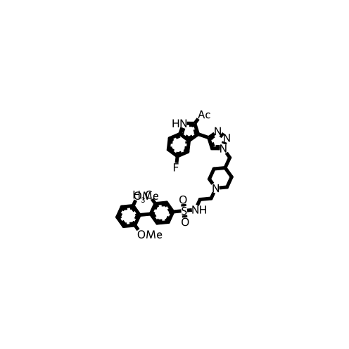 COc1cccc(OC)c1-c1ccc(S(=O)(=O)NCCN2CCC(Cn3cc(-c4c(C(C)=O)[nH]c5ccc(F)cc45)nn3)CC2)cc1C